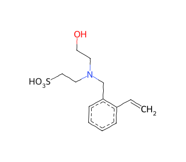 C=Cc1ccccc1CN(CCO)CCS(=O)(=O)O